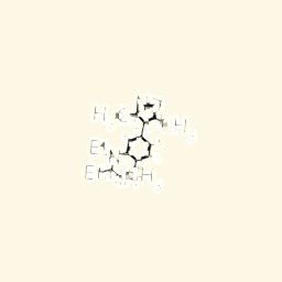 CCC(C(C)C)N(CC)c1cc(-c2c(C)noc2C)ccc1C